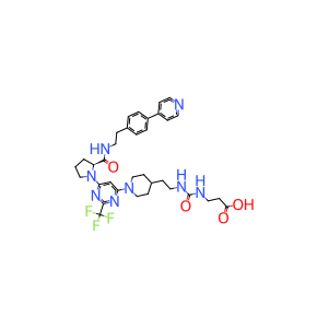 O=C(O)CCNC(=O)NCCC1CCN(c2cc(N3CCC[C@H]3C(=O)NCCc3ccc(-c4ccncc4)cc3)nc(C(F)(F)F)n2)CC1